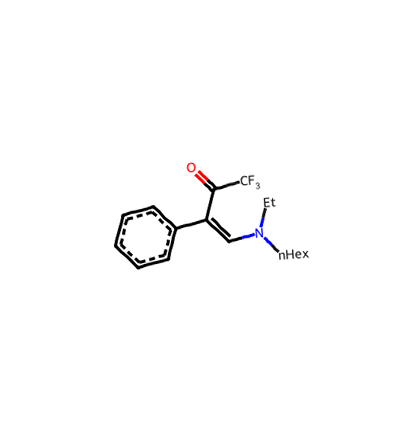 CCCCCCN(/C=C(\C(=O)C(F)(F)F)c1ccccc1)CC